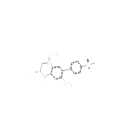 CC(=O)N1c2cc(C#N)c(-c3ccc(S(C)(=O)=O)cc3)cc2N(C(=O)O)C[C@@H]1C